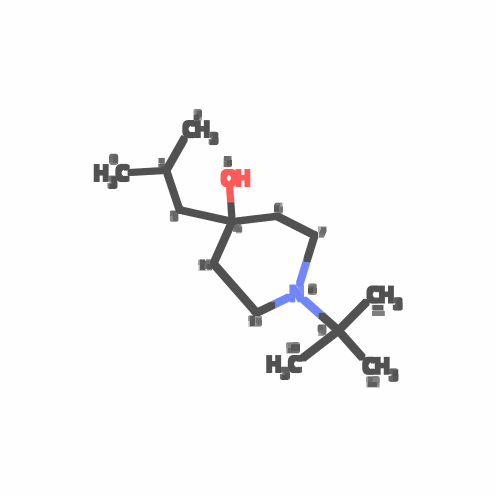 CC(C)CC1(O)CCN(C(C)(C)C)CC1